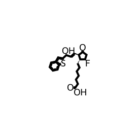 O=C(O)CCCCCC[C@H]1[C@@H](F)CC(=O)[C@@H]1/C=C/[C@@H](O)c1cc2ccccc2s1